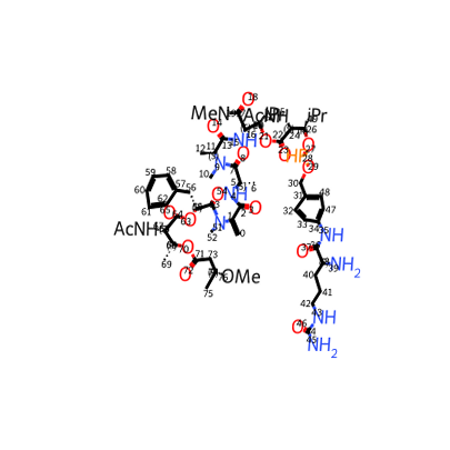 C=C(C(=O)N[C@@H](C)C(=O)N(C)[C@@H](C)C(=O)N[C@H](C(=O)NC)[C@H](OC(=O)[C@@H](NC(C)=O)[C@H](OPOCc1ccc(NC(=O)[C@@H](N)CCCNC(N)=O)cc1)C(C)C)C(C)C)N(C)C(=O)[C@@H](Cc1ccccc1)OC(=O)[C@@H](NC(C)=O)[C@@H](C)OC(=O)C[C@@H](C)OC